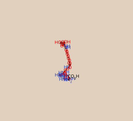 N=C(N)NCCC[C@H](NC(=O)CCOCCOCCNC(=O)c1ccc(OC(=O)CCOCCOCCOCCOCCOCCOCCNC(=S)Nc2ccc3c(c2)C(=O)OC32c3ccc(O)cc3Oc3cc(O)ccc32)cc1)C(=O)N[C@@H](CCCNC(=N)N)C(=O)NCC(=O)N[C@@H](Cc1c[nH]c2ccccc12)C(=O)O